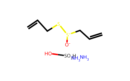 C=CCS[S+]([O-])CC=C.N.N.O=S(=O)(O)O